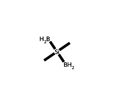 B[Si](B)(C)C